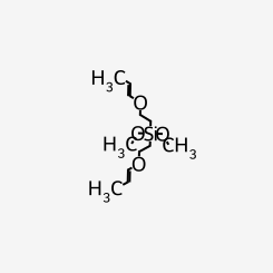 CC=COCC[Si](CCOC=CC)(OC)OC